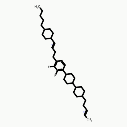 C/C=C/CCC1CCC(C2CCC(c3ccc(CC/C=C/C4CCC(CCCCC)CC4)c(F)c3F)CC2)CC1